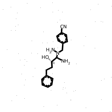 N#Cc1ccc(CN(N)C(N)[C@@H](O)CCc2ccccc2)cc1